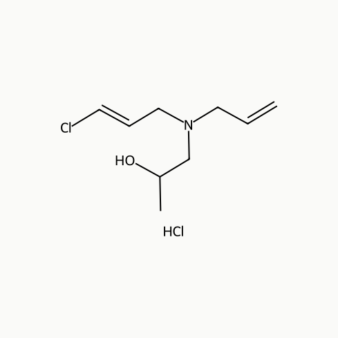 C=CCN(CC=CCl)CC(C)O.Cl